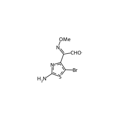 CON=C([C]=O)c1nc(N)sc1Br